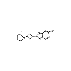 C[C@H]1CCCN1C1CC(c2nc3ccc(Br)cc3s2)C1